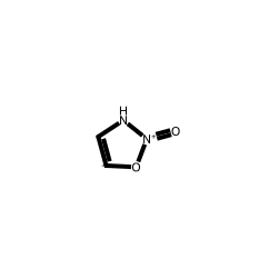 O=[n+]1[nH]c[c]o1